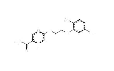 NC(=O)c1cnc(OCCOc2cc(F)ccc2Br)cn1